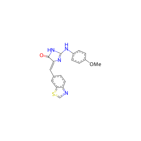 COc1ccc(NC2=NC(=Cc3ccc4ncsc4c3)C(=O)N2)cc1